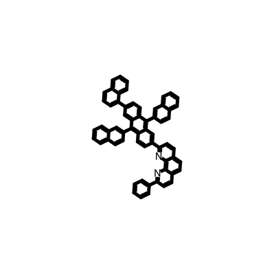 c1ccc(-c2ccc3ccc4ccc(-c5ccc6c(-c7ccc8ccccc8c7)c7cc(-c8cccc9ccccc89)ccc7c(-c7ccc8ccccc8c7)c6c5)nc4c3n2)cc1